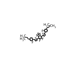 CC(C)CCc1ccc(-c2ccc(-c3c(F)c(F)c(-c4ccc(-c5ccc(CCC(C)C)cc5F)s4)c4nsnc34)s2)c(F)c1